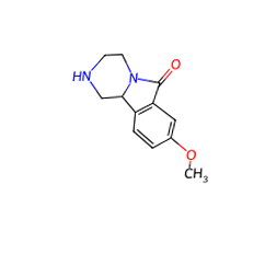 COc1ccc2c(c1)C(=O)N1CCNCC21